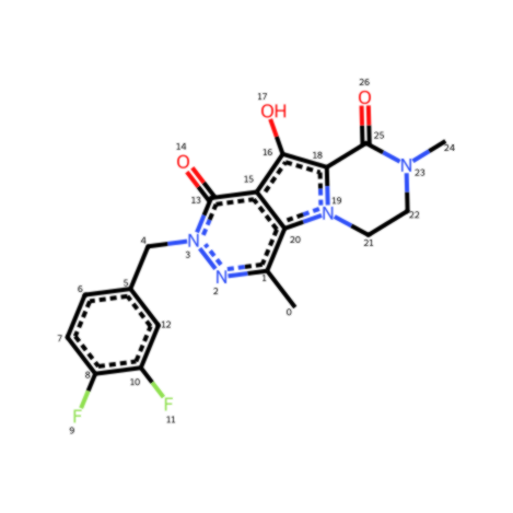 Cc1nn(Cc2ccc(F)c(F)c2)c(=O)c2c(O)c3n(c12)CCN(C)C3=O